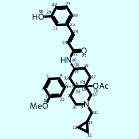 COc1cccc([C@@]23CCN(CC4CC4)C[C@@]2(OC(C)=O)CC[C@H](NC(=O)C=Cc2cccc(O)c2)C3)c1